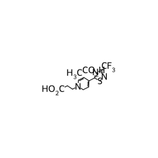 CC(=O)O.O=C(O)CCN1C=CC(c2nc(C(F)(F)F)ns2)=CC1